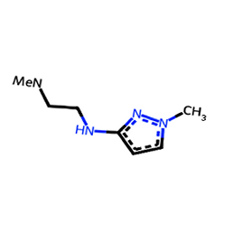 CNCCNc1ccn(C)n1